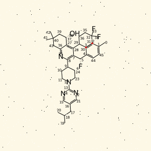 Cc1ccc([C@H](F)c2c(C3CCN(c4ncc(CC(C)C)cn4)CC3)nc3c(c2C2CCC(F)(F)CC2)[C@@H](O)CC(C)(C)C3)cc1